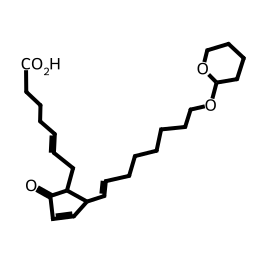 O=C(O)CCCC=CCC1C(=O)C=CC1C=CCCCCCCOC1CCCCO1